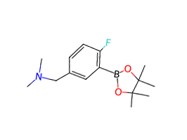 CN(C)Cc1ccc(F)c(B2OC(C)(C)C(C)(C)O2)c1